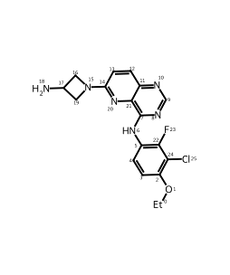 CCOc1ccc(Nc2ncnc3ccc(N4CC(N)C4)nc23)c(F)c1Cl